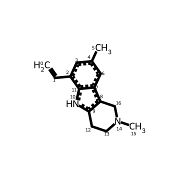 C=Cc1cc(C)cc2c3c([nH]c12)CCN(C)C3